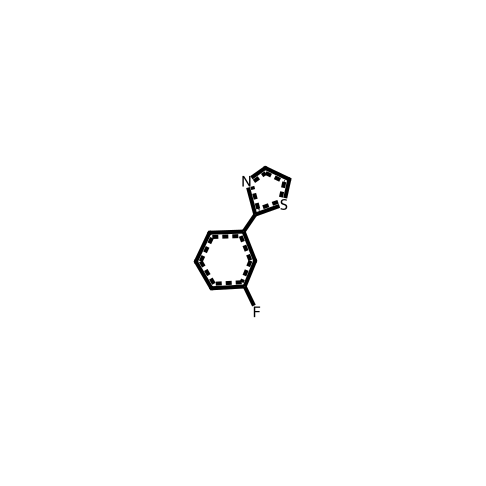 Fc1cccc(-c2nccs2)c1